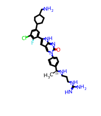 C[C@H](NCCCNC(=N)N)c1ccc(-n2cc3cc(-c4cc(C5CCC(CN)CC5)cc(Cl)c4F)[nH]c3nc2=O)cc1